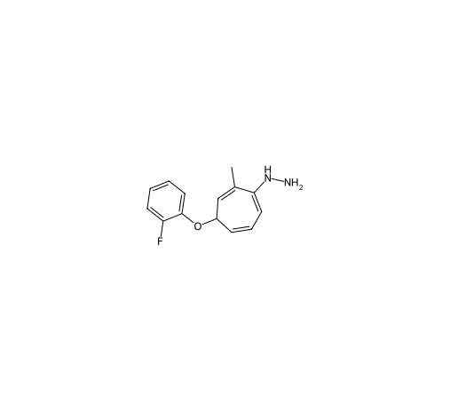 CC1=CC(Oc2ccccc2F)C=CC=C1NN